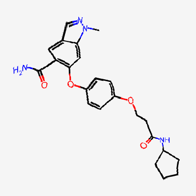 Cn1ncc2cc(C(N)=O)c(Oc3ccc(OCCC(=O)NC4CCCC4)cc3)cc21